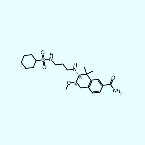 CO[C@@H]1Cc2ccc(C(N)=O)cc2C(C)(C)[C@H]1NCCCNS(=O)(=O)C1CCCCC1